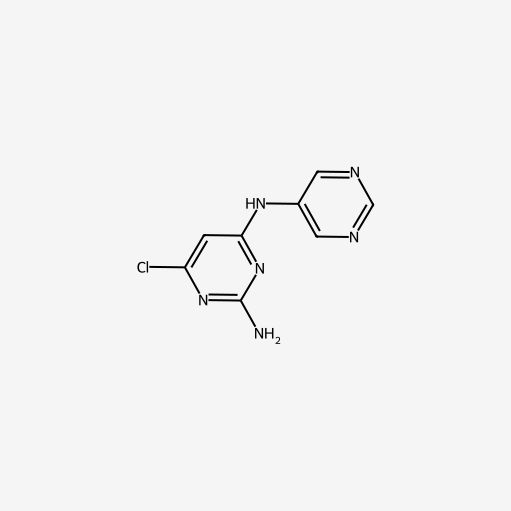 Nc1nc(Cl)cc(Nc2cncnc2)n1